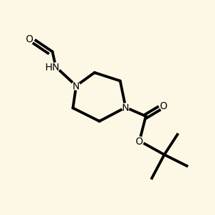 CC(C)(C)OC(=O)N1CCN(NC=O)CC1